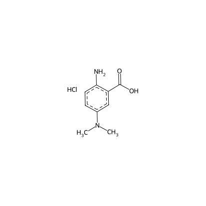 CN(C)c1ccc(N)c(C(=O)O)c1.Cl